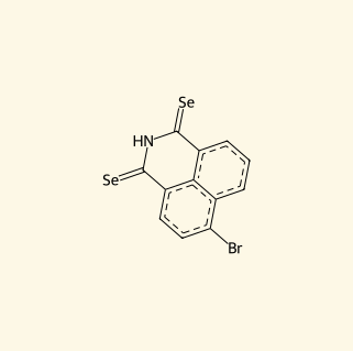 [Se]=C1NC(=[Se])c2ccc(Br)c3cccc1c23